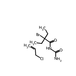 C=CCCl.CCC(Br)(CC)C(=O)NC(N)=O